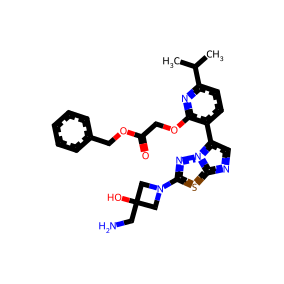 CC(C)c1ccc(-c2cnc3sc(N4CC(O)(CN)C4)nn23)c(OCC(=O)OCc2ccccc2)n1